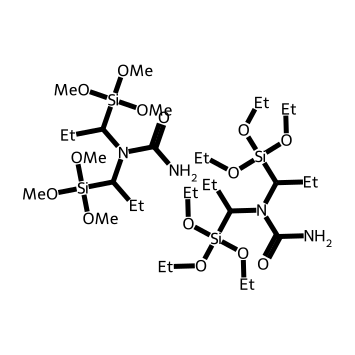 CCC(N(C(N)=O)C(CC)[Si](OC)(OC)OC)[Si](OC)(OC)OC.CCO[Si](OCC)(OCC)C(CC)N(C(N)=O)C(CC)[Si](OCC)(OCC)OCC